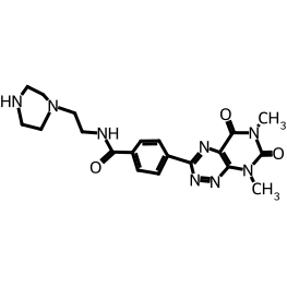 Cn1c(=O)c2nc(-c3ccc(C(=O)NCCN4CCNCC4)cc3)nnc2n(C)c1=O